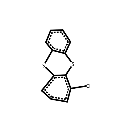 Clc1cccc2c1Sc1ccccc1S2